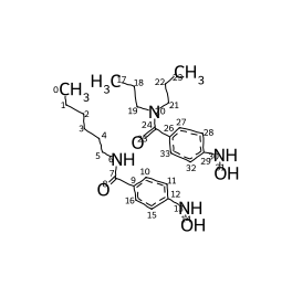 CCCCCCNC(=O)c1ccc(NO)cc1.CCCN(CCC)C(=O)c1ccc(NO)cc1